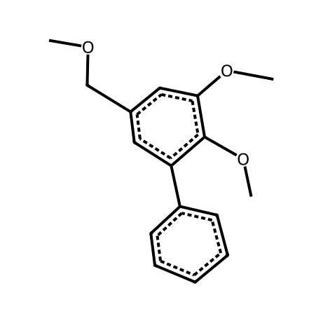 COCc1cc(OC)c(OC)c(-c2ccccc2)c1